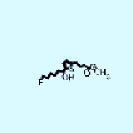 COC(=O)CCCc1ccc(C(O)CCCCCF)s1